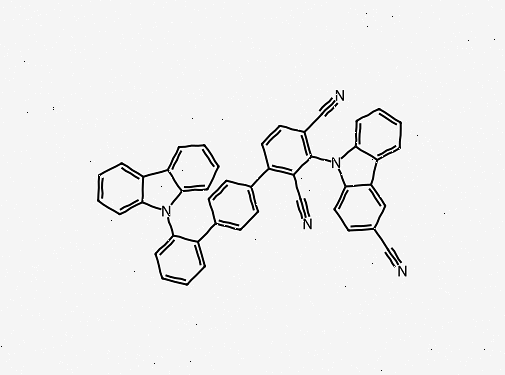 N#Cc1ccc2c(c1)c1ccccc1n2-c1c(C#N)ccc(-c2ccc(-c3ccccc3-n3c4ccccc4c4ccccc43)cc2)c1C#N